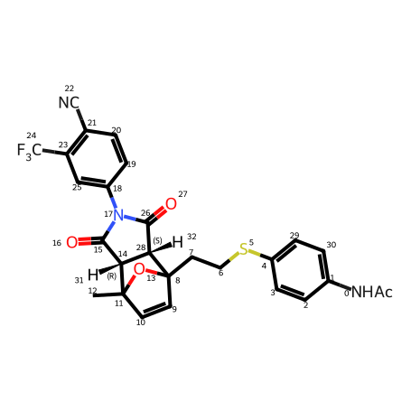 CC(=O)Nc1ccc(SCCC23C=CC(C)(O2)[C@@H]2C(=O)N(c4ccc(C#N)c(C(F)(F)F)c4)C(=O)[C@@H]23)cc1